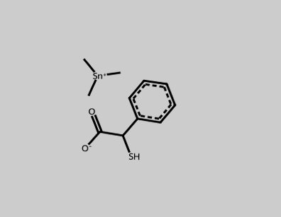 O=C([O-])C(S)c1ccccc1.[CH3][Sn+]([CH3])[CH3]